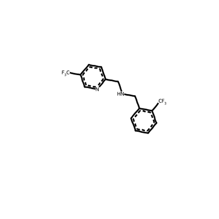 FC(F)(F)c1ccc(CNCc2ccccc2C(F)(F)F)nc1